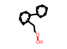 OOCCc1ccccc1-c1ccccc1